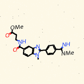 CNC(=N)c1ccc(-c2nc3cc(C(=O)NCCC(=O)OC)ccc3n2C)cc1